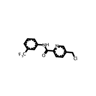 O=C(Nc1cccc(C(F)(F)F)c1)c1ccc(CCl)cn1